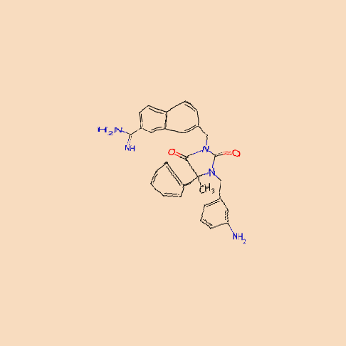 CC1(c2ccccc2)C(=O)N(Cc2ccc3ccc(C(=N)N)cc3c2)C(=O)N1Cc1cccc(N)c1